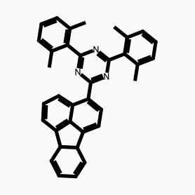 Cc1cccc(C)c1-c1nc(-c2c(C)cccc2C)nc(-c2ccc3c4c(cccc24)C2C=CC=CC32)n1